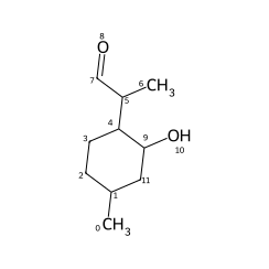 CC1CCC(C(C)C=O)C(O)C1